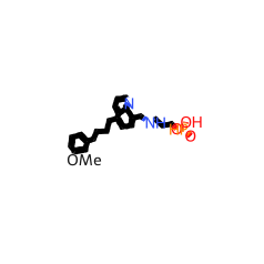 COc1cccc(CCCCc2ccc(CNCCCO[PH](=O)O)c3ncccc23)c1